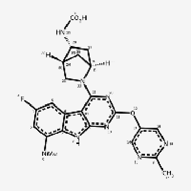 CNc1cc(F)cc2c1[nH]c1nc(Oc3cnc(C)nc3)nc(N3C[C@H]4C[C@H]3C[C@H]4NC(=O)O)c12